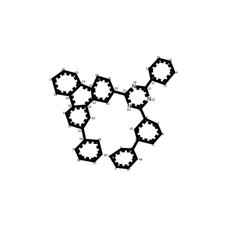 c1ccc(-c2cccc(-c3nc(-c4ccccc4)nc(-c4ccc5c6ccccc6c6ccc(-c7ccccc7)cc6c5c4)n3)c2)cc1